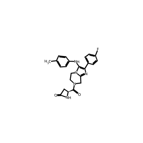 Cc1ccc(Nc2c(-c3ccc(F)cc3)nc3n2CCN(C(=O)[C@@H]2CC(=O)N2)C3)cc1